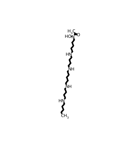 CCCCCNCCCCNCCCCCNCCCCNCCCCCN(O)C(C)=O